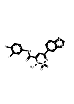 CN1C(C(=O)Nc2ccc(F)c(Cl)c2)=CC(c2ccc3ncsc3c2)=NS1(=O)=O